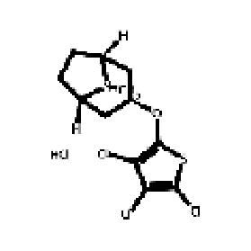 CN1[C@@H]2CC[C@H]1C[C@H](Oc1sc(Cl)c(Cl)c1Cl)C2.Cl